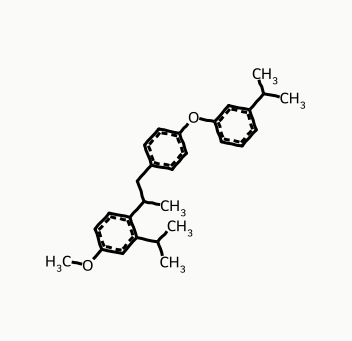 COc1ccc(C(C)Cc2ccc(Oc3cccc(C(C)C)c3)cc2)c(C(C)C)c1